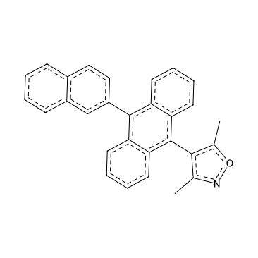 Cc1noc(C)c1-c1c2ccccc2c(-c2ccc3ccccc3c2)c2ccccc12